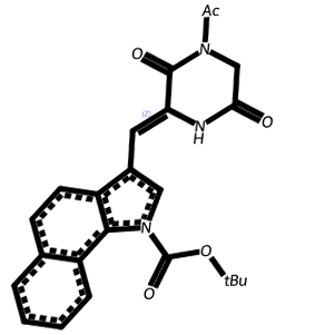 CC(=O)N1CC(=O)N/C(=C\c2cn(C(=O)OC(C)(C)C)c3c2ccc2ccccc23)C1=O